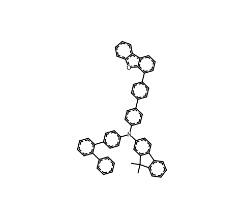 CC1(C)c2ccccc2-c2ccc(N(c3ccc(-c4ccc(-c5cccc6c5oc5ccccc56)cc4)cc3)c3ccc(-c4ccccc4-c4ccccc4)cc3)cc21